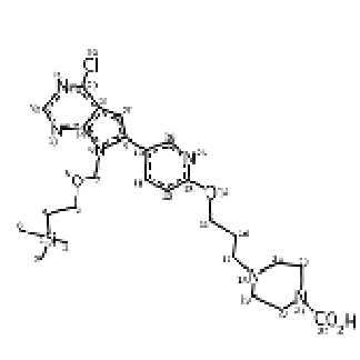 C[Si](C)(C)CCOCn1c(-c2ccc(OCCCN3CCN(C(=O)O)CC3)nc2)cc2c(Cl)ncnc21